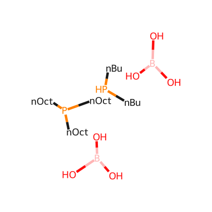 CCCCCCCCP(CCCCCCCC)CCCCCCCC.CCCCPCCCC.OB(O)O.OB(O)O